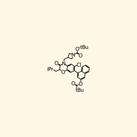 CC(C)CC1Oc2cc(-c3cc(OC(=O)C(C)(C)C)cc4ccccc34)c(Cl)cc2N(CC2CN(C(=O)OC(C)(C)C)C2)C1=O